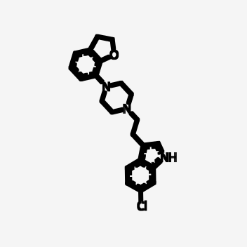 Clc1ccc2c(CCN3CCN(c4cccc5c4OCC5)CC3)c[nH]c2c1